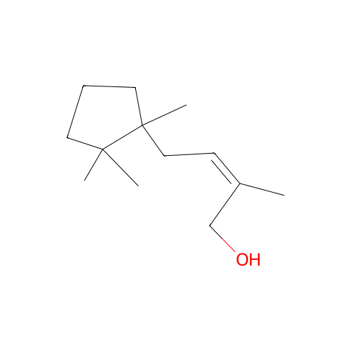 CC(=CCC1(C)CCCC1(C)C)CO